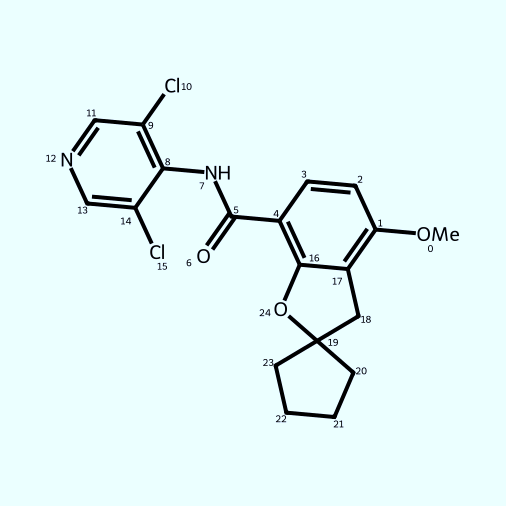 COc1ccc(C(=O)Nc2c(Cl)cncc2Cl)c2c1CC1(CCCC1)O2